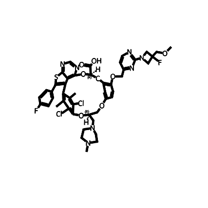 COCC1(F)CN(c2nccc(COc3ccc4cc3C[C@H](C(=O)O)Oc3ncnc5sc(-c6ccc(F)cc6)c(c35)-c3c(C)c(Cl)c(c(Cl)c3C)O[C@H](CN3CCN(C)CC3)CO4)n2)C1